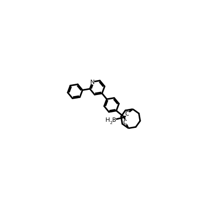 BC1(c2ccc(-c3ccnc(-c4ccccc4)c3)cc2)CC2CCCC(CCC2)C1